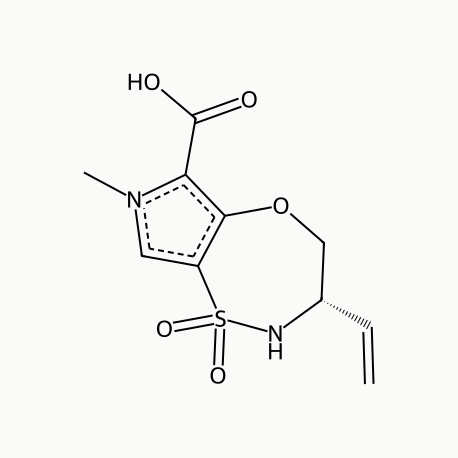 C=C[C@H]1COc2c(cn(C)c2C(=O)O)S(=O)(=O)N1